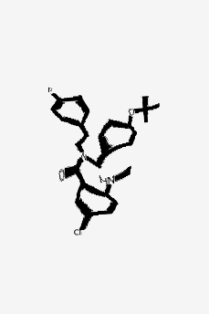 CNc1ccc(Cl)cc1C(=O)N(CCc1ccc(F)cc1)Cc1ccc(OC(C)(C)C)cc1